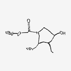 CCCC1C(C)C(O)CN1C(=O)OC(C)(C)C